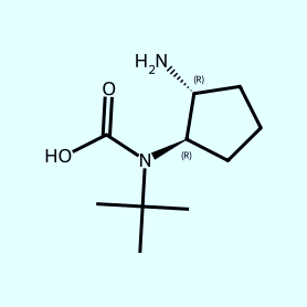 CC(C)(C)N(C(=O)O)[C@@H]1CCC[C@H]1N